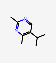 Cc1ncc(C(C)C)c(C)n1